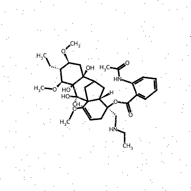 CCNC[C@]1(OC(=O)c2ccccc2NC(C)=O)CC=C(OC)C23CC(C[C@@H]21)[C@@]1(O)C[C@H](OC)[C@@H](CC)[C@H](OC)[C@@]1(O)[C@]3(C)O